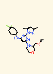 Cc1cc(C)n(-c2nc(NC3CCC(F)(F)CC3)cc(N3CCOCC3COC(C)C)n2)n1